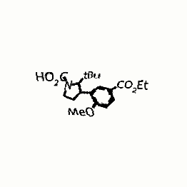 CCOC(=O)c1ccc(OC)c(C2CCN(C(=O)O)C2C(C)(C)C)c1